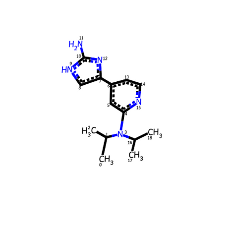 CC(C)N(c1cc(-c2c[nH]c(N)n2)ccn1)C(C)C